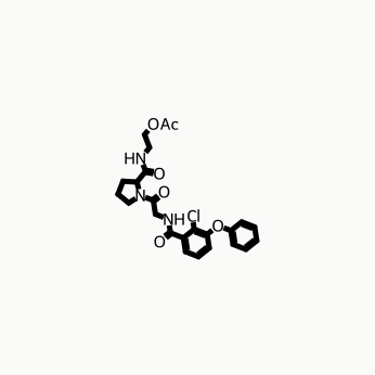 CC(=O)OCCNC(=O)C1CCCN1C(=O)CNC(=O)c1cccc(Oc2ccccc2)c1Cl